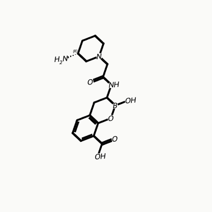 N[C@@H]1CCCN(CC(=O)NC2Cc3cccc(C(=O)O)c3OB2O)C1